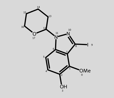 COc1c(O)ccc2c1c(I)nn2C1CCCCO1